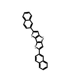 c1ccc2cc(-c3cc4sc5cc(-c6ccc7ccccc7c6)sc5c4s3)ccc2c1